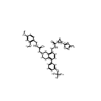 COc1ccc(CNC(=O)CN2CCc3c(-c4cccc(OC(F)(F)F)c4)ccc(CNC(=O)[C@H]4C[C@H]4c4nc(C)no4)c3C2)c(OC)c1